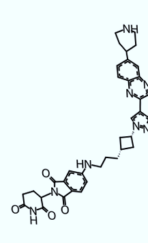 O=C1CCC(N2C(=O)c3ccc(NCCC[C@H]4C[C@@H](n5cc(-c6cnc7cc(C8CCNCC8)ccc7n6)cn5)C4)cc3C2=O)C(=O)N1